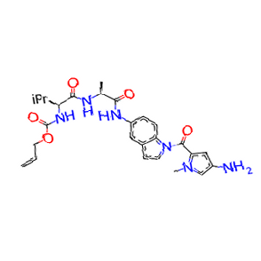 C=CCOC(=O)N[C@H](C(=O)N[C@@H](C)C(=O)Nc1ccc2c(ccn2C(=O)c2cc(N)cn2C)c1)C(C)C